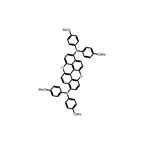 COc1ccc(N(c2ccc(OC)cc2)c2ccc3oc4ccc5c(N(c6ccc(OC)cc6)c6ccc(OC)cc6)ccc6oc7ccc2c3c7-c4c65)cc1